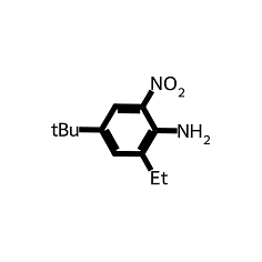 CCc1cc(C(C)(C)C)cc([N+](=O)[O-])c1N